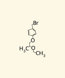 CCOC(C)COc1ccc(CBr)cc1